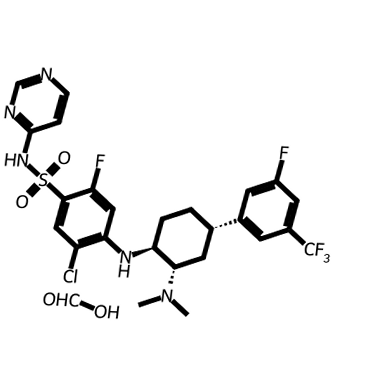 CN(C)[C@H]1C[C@@H](c2cc(F)cc(C(F)(F)F)c2)CC[C@@H]1Nc1cc(F)c(S(=O)(=O)Nc2ccncn2)cc1Cl.O=CO